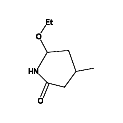 CCOC1CC(C)CC(=O)N1